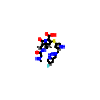 CNCC(=O)N[C@H](C)[C@H]1C(=O)N2C(C(=O)O)=C(S[C@@H]3CN[C@H](CNCC4C[C@H](F)CN4)C3)[C@H](C)[C@H]12